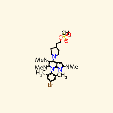 CNc1cc2c(N3CCC(CCOS(C)(=O)=O)CC3)c(NC)c(NC)n(-c3c(C)cc(Br)cc3C)c-2n1